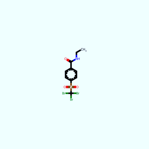 CCNC(=O)c1ccc(S(=O)(=O)C(Br)(Br)Br)cc1